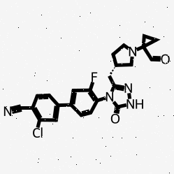 N#Cc1ccc(-c2ccc(-n3c(C[C@@H]4CCN(C5(C=O)CC5)C4)n[nH]c3=O)c(F)c2)cc1Cl